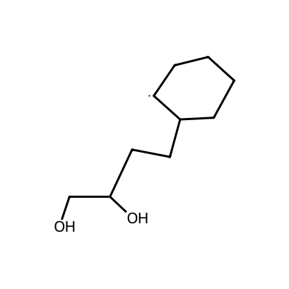 OCC(O)CCC1[CH]CCCC1